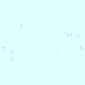 Cn1nccc1C1CC(F)CC1Oc1cc(F)c(S(=O)(=O)Nc2ccncn2)cc1F